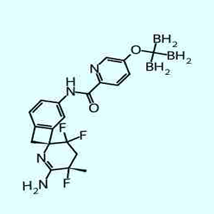 BC(B)(B)Oc1ccc(C(=O)Nc2ccc3c(c2)[C@@]2(C3)N=C(N)[C@@](C)(F)CC2(F)F)nc1